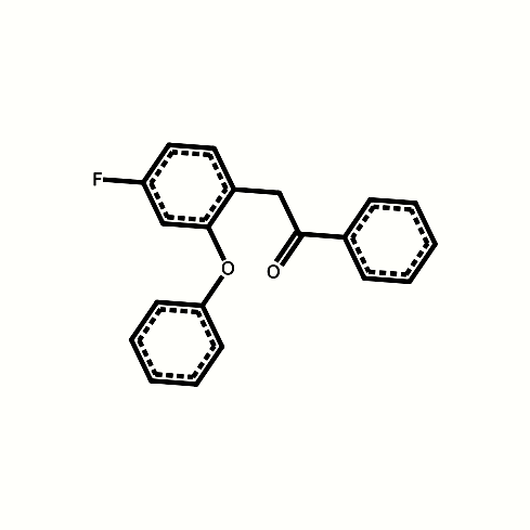 O=C(Cc1ccc(F)cc1Oc1ccccc1)c1ccccc1